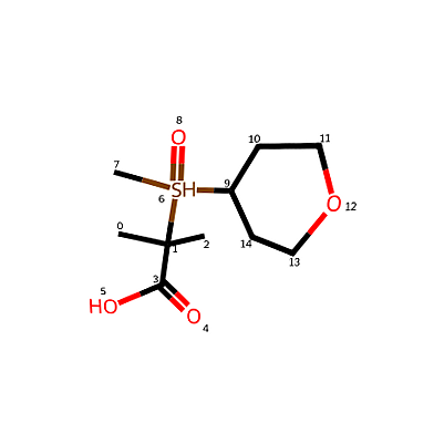 CC(C)(C(=O)O)[SH](C)(=O)C1CCOCC1